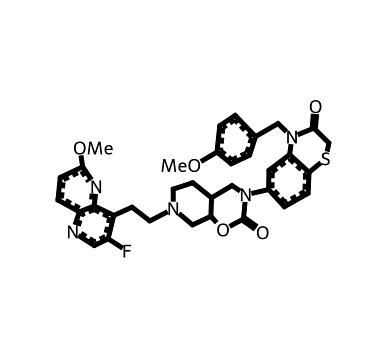 COc1ccc(CN2C(=O)CSc3ccc(N4CC5CCN(CCc6c(F)cnc7ccc(OC)nc67)CC5OC4=O)cc32)cc1